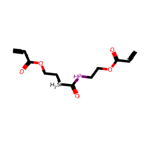 C=CC(=O)OCC[SiH2]C(=O)PCCOC(=O)C=C